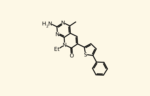 CCn1c(=O)c(-c2ccc(-c3ccccc3)s2)cc2c(C)nc(N)nc21